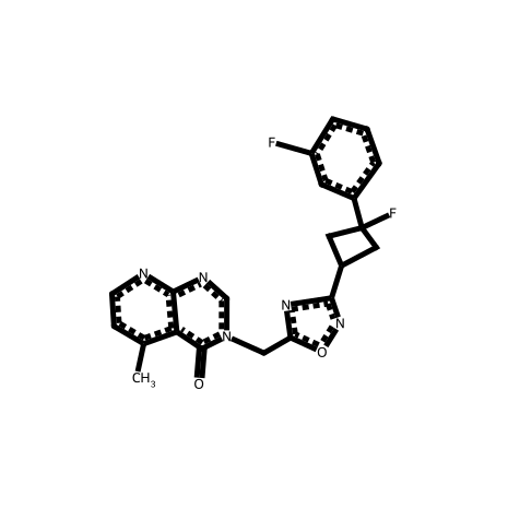 Cc1ccnc2ncn(Cc3nc(C4CC(F)(c5cccc(F)c5)C4)no3)c(=O)c12